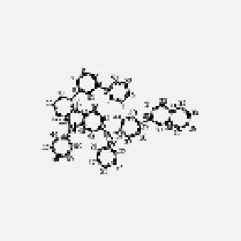 c1ccc(-c2cccc(-c3cccc4c3c3ccc(N(c5ccccc5)c5ccc(-c6ccc7ccccc7c6)cc5)cc3n4-c3ccccc3)c2)cc1